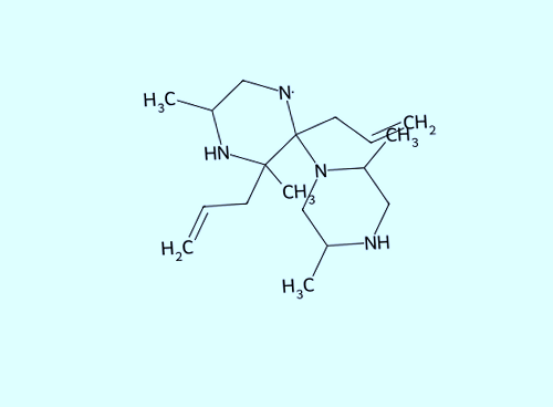 C=CCC1(C)NC(C)C[N]C1(CC=C)N1CC(C)NCC1C